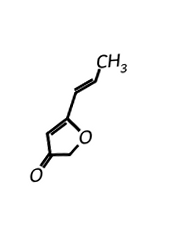 CC=CC1=CC(=O)CO1